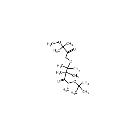 COC(C)(C)C(=O)COC(C)(C)C(C)(C)C(=O)C(C)OC(C)(C)C